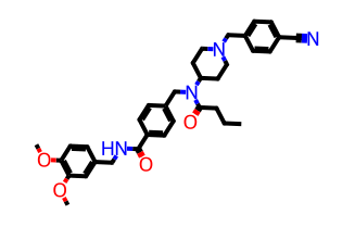 CCCC(=O)N(Cc1ccc(C(=O)NCc2ccc(OC)c(OC)c2)cc1)C1CCN(Cc2ccc(C#N)cc2)CC1